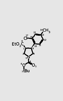 CCOC(=O)[C@@H]1CN(C(=O)OC(C)(C)C)C[C@@H]1c1ccc(C)cc1Cl